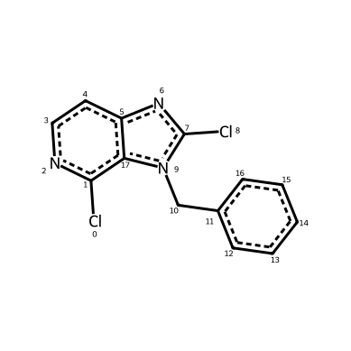 Clc1nccc2nc(Cl)n(Cc3ccccc3)c12